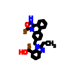 CCc1nc2cccc(C(O)=S)c2n1Cc1ccc(-c2ccccc2-c2nc(=S)o[nH]2)cc1